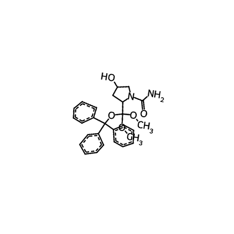 COC(OC)(OC(c1ccccc1)(c1ccccc1)c1ccccc1)C1CC(O)CN1C(N)=O